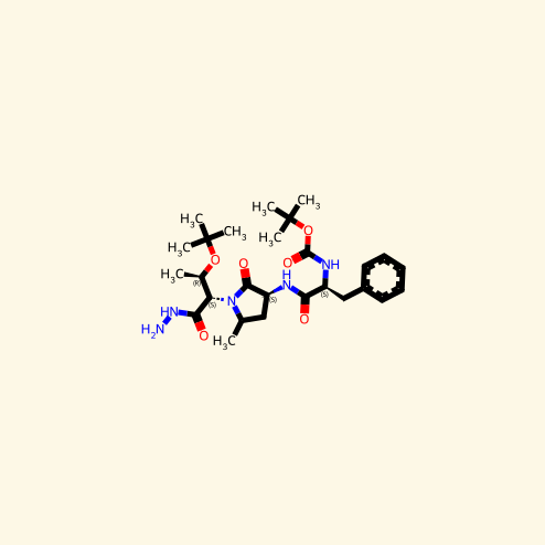 CC1C[C@H](NC(=O)[C@H](Cc2ccccc2)NC(=O)OC(C)(C)C)C(=O)N1[C@H](C(=O)NN)[C@@H](C)OC(C)(C)C